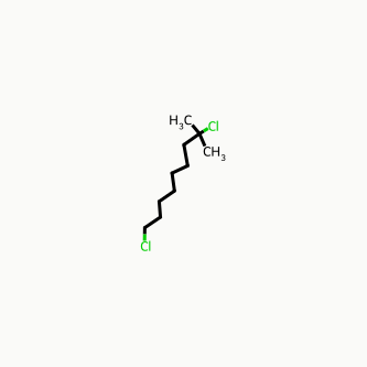 CC(C)(Cl)CCCCCCCCl